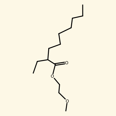 CCCCCCCC(CC)C(=O)OCCOC